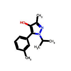 Cc1cccc(-c2c(O)c(C)nn2C(C)C)c1